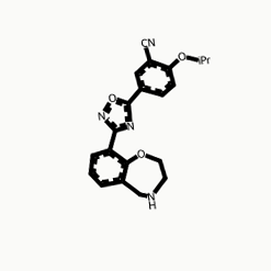 CC(C)Oc1ccc(-c2nc(-c3cccc4c3OCCNC4)no2)cc1C#N